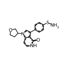 NSc1ccc(-c2cn(C3CCOC3)c3cc[nH]c(=O)c23)cc1